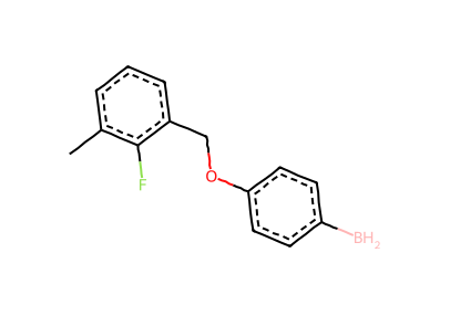 Bc1ccc(OCc2cccc(C)c2F)cc1